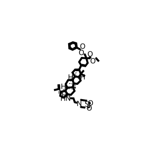 C=C(C)[C@@H]1CC[C@]2(NCCN3CCS(=O)(=O)CC3)CC[C@]3(C)[C@H](CC[C@@H]4[C@@]5(C)CC=C(C6=CCC(COC(=O)c7ccccc7)(C(=O)OCC)CC6)C(C)(C)[C@@H]5CC[C@]43C)[C@@H]12